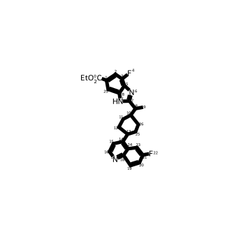 CCOC(=O)c1cc(F)c2nc(C(C)C3CCC(c4ccnc5ccc(F)cc45)CC3)[nH]c2c1